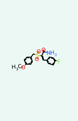 COc1ccc(CS(=O)(=O)C(=Cc2ccc(F)cc2)C(N)=O)cc1